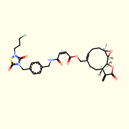 C=C1C(=O)O[C@H]2[C@H]1CC/C(COC(=O)/C=C\C(=O)NCc1ccc(Cn3c(=O)sn(CCCCl)c3=O)cc1)=C\CC[C@@]1(C)O[C@@H]21